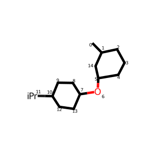 CC1CCCC(OC2CCC(C(C)C)CC2)C1